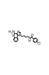 Nc1nc2ccccc2c2c1ncn2CCCCNC(=O)c1ccc(Cl)cc1